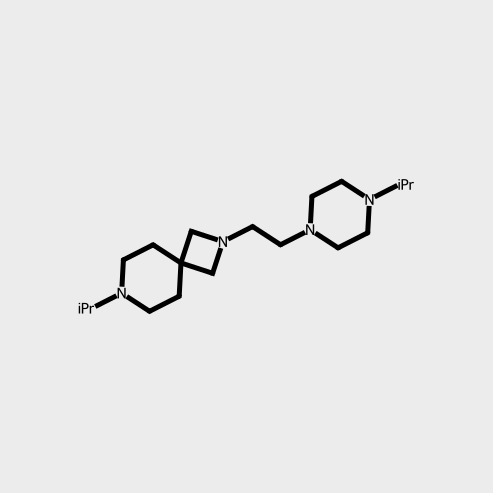 CC(C)N1CCN(CCN2CC3(CCN(C(C)C)CC3)C2)CC1